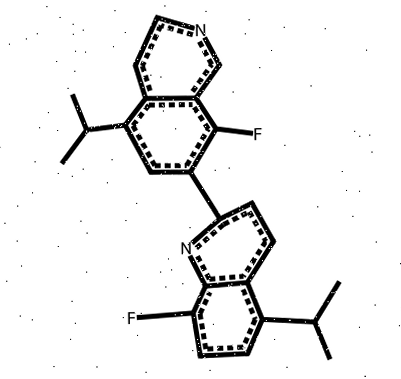 CC(C)c1cc(-c2ccc3c(C(C)C)ccc(F)c3n2)c(F)c2cnccc12